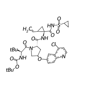 C=CC1C[C@]1(NC(=O)[C@@H]1C[C@@H](Oc2ccc3nccc(Cl)c3c2)CN1C(=O)[C@@H](NC(=O)OC(C)(C)C)C(C)(C)C)C(=O)NS(=O)(=O)C1CC1